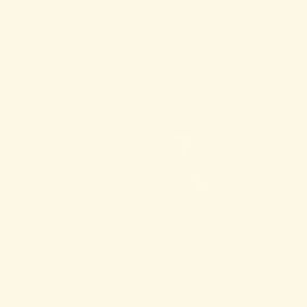 O=C1OC(Br)c2ccccc21